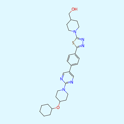 OCC1CCN(c2nnc(-c3ccc(-c4cnc(N5CCC(OC6CCCCC6)CC5)nc4)cc3)s2)CC1